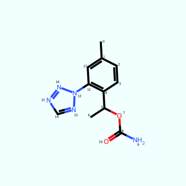 Cc1ccc(C(C)OC(N)=O)c(-n2ncnn2)c1